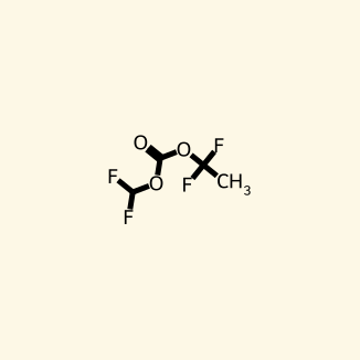 CC(F)(F)OC(=O)OC(F)F